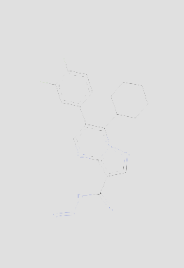 N=NNC(=N)c1cnn2c(C3CCCCC3)c(-c3ccc(F)c(F)c3)cnc12